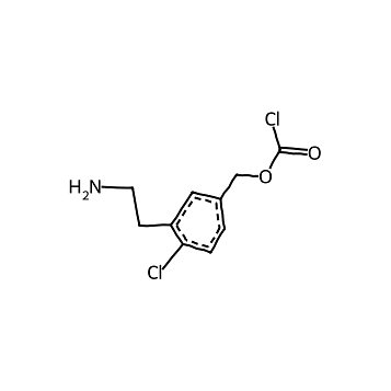 NCCc1cc(COC(=O)Cl)ccc1Cl